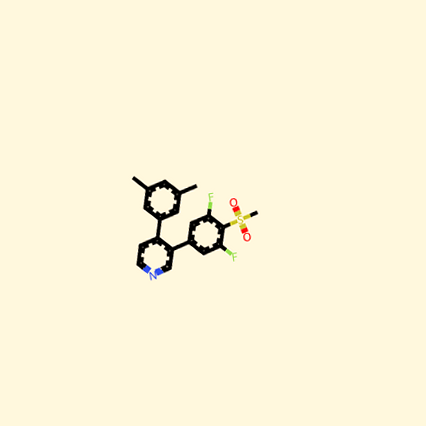 Cc1cc(C)cc(-c2ccncc2-c2cc(F)c(S(C)(=O)=O)c(F)c2)c1